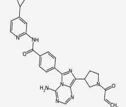 C=CC(=O)N1CCC(c2nc(-c3ccc(C(=O)Nc4cc(C5CC5)ccn4)cc3)n3c(N)ncnc23)C1